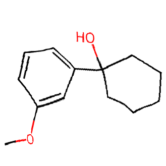 COc1cccc(C2(O)CCCCC2)c1